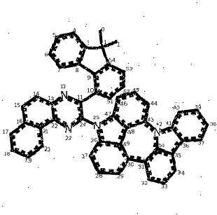 CC1(C)c2ccccc2-c2c(-c3nc4ccc5ccccc5c4nc3-n3c4cccc5c6cccc7c8ccccc8n(c8cccc3c8c54)c67)cccc21